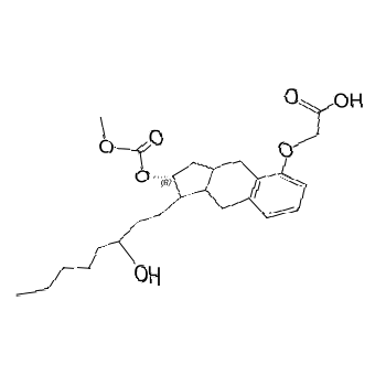 CCCCCC(O)CCC1C2Cc3cccc(OCC(=O)O)c3CC2C[C@H]1OC(=O)OC